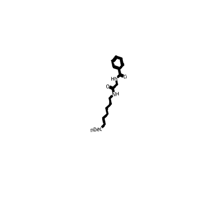 CCCCCCCCCCCCCCCCNC(=O)CNC(=O)c1ccccc1